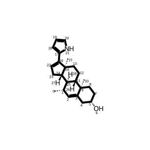 C[C@H]1C=C2C[C@@H](O)CC[C@]2(C)[C@H]2CC[C@]3(C)C(c4ccc[nH]4)=CC[C@H]3[C@H]12